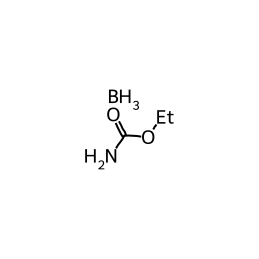 B.CCOC(N)=O